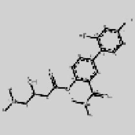 CN(C)CC(O)CC(=O)Oc1ccc(-c2ccc(F)cc2F)cc1C(=O)N(C)C